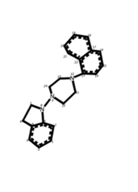 c1ccc2c(c1)CCN2N1CCN(c2cccc3ccccc23)CC1